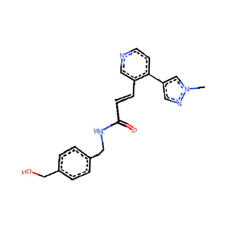 Cn1cc(-c2ccncc2C=CC(=O)NCc2ccc(CO)cc2)cn1